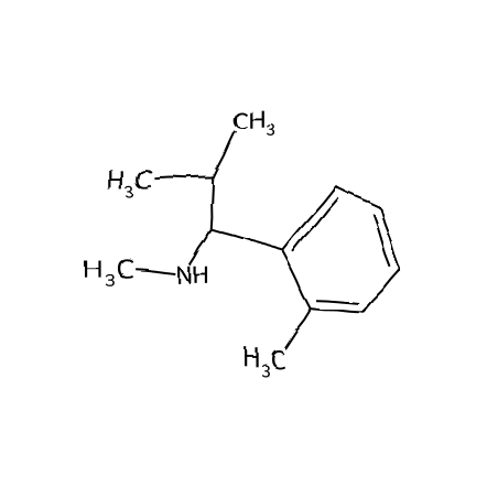 CNC(c1ccccc1C)C(C)C